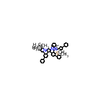 CC1=CC(c2ccccc2)=CC1(C)Cn1c2ccccc2[n+]2c3c(c4ccc5c6cccc(C)c6sc5c4c12)C1c2ccc(-c4ccccc4)cc2-c2cc(CC(C)C)c([Si](C)(C)C)c[n+]2C1C3